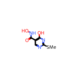 CSc1ncc(C(=O)NO)c(O)n1